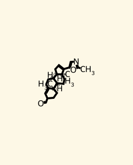 Cc1ncc(C2=CC[C@H]3[C@@H]4CCC5=CC(C=O)CC[C@]5(C)[C@H]4CC[C@]23C)o1